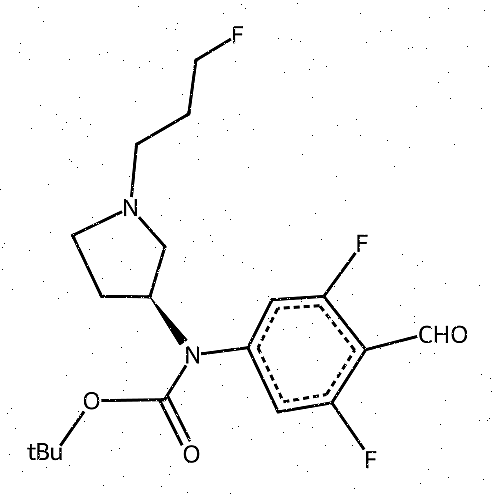 CC(C)(C)OC(=O)N(c1cc(F)c(C=O)c(F)c1)[C@H]1CCN(CCCF)C1